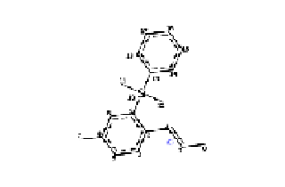 C/C=C/c1ccc(C)cc1[Si](C)(C)c1ccccc1